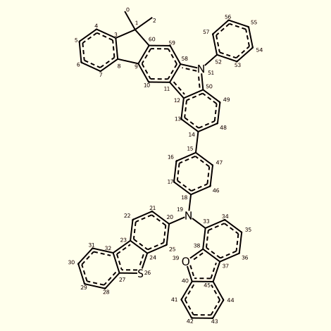 CC1(C)c2ccccc2-c2cc3c4cc(-c5ccc(N(c6ccc7c(c6)sc6ccccc67)c6cccc7c6oc6ccccc67)cc5)ccc4n(-c4ccccc4)c3cc21